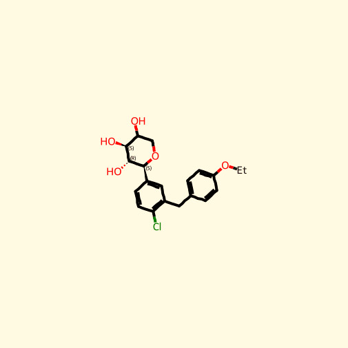 CCOc1ccc(Cc2cc([C@@H]3OCC(O)[C@H](O)[C@H]3O)ccc2Cl)cc1